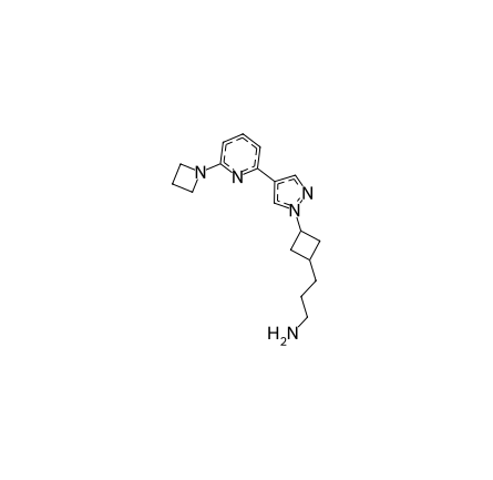 NCCCC1CC(n2cc(-c3cccc(N4CCC4)n3)cn2)C1